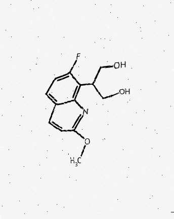 COc1ccc2ccc(F)c(C(CO)CO)c2n1